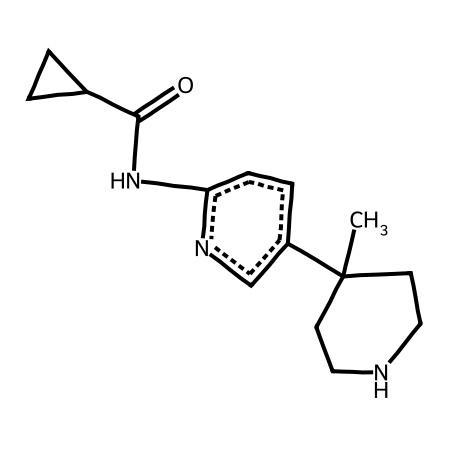 CC1(c2ccc(NC(=O)C3CC3)nc2)CCNCC1